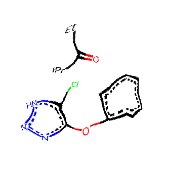 CCC(=O)C(C)C.Clc1[nH]nnc1Oc1ccccc1